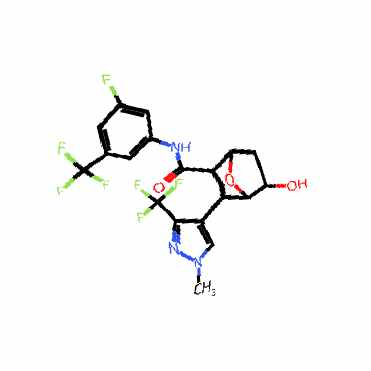 Cn1cc(C2C3OC(CC3O)C2C(=O)Nc2cc(F)cc(C(F)(F)F)c2)c(C(F)(F)F)n1